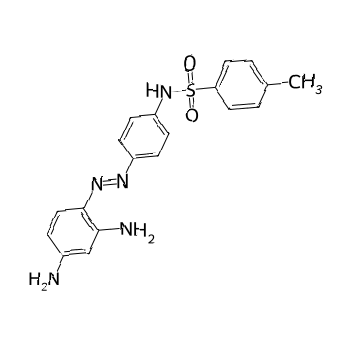 Cc1ccc(S(=O)(=O)Nc2ccc(N=Nc3ccc(N)cc3N)cc2)cc1